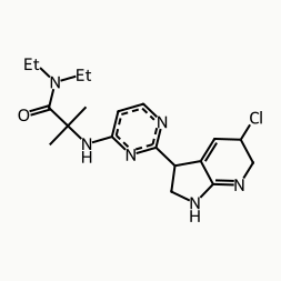 CCN(CC)C(=O)C(C)(C)Nc1ccnc(C2CNC3=NCC(Cl)C=C32)n1